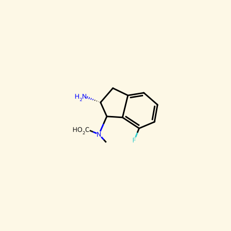 CN(C(=O)O)C1c2c(F)cccc2C[C@H]1N